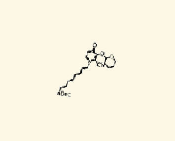 CCCCCCCCCCCCCCCCC=Cn1ccc(=O)c(OC2CCCCO2)c1C#N